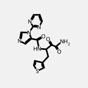 NC(=O)C(=O)C(Cc1ccsc1)NC(=O)c1cncn1-c1ncccn1